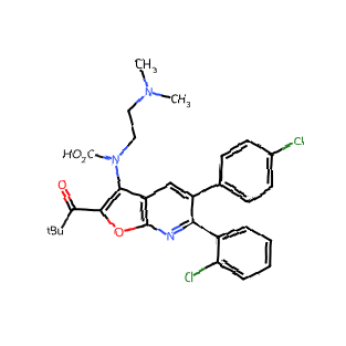 CN(C)CCN(C(=O)O)c1c(C(=O)C(C)(C)C)oc2nc(-c3ccccc3Cl)c(-c3ccc(Cl)cc3)cc12